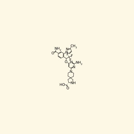 Cc1ccn(-c2cc(C(N)=O)ccc2C(Oc2cc(N3CCC4(CC3)CN[C@H](C(=O)O)C4)nc(N)n2)C(F)(F)F)n1